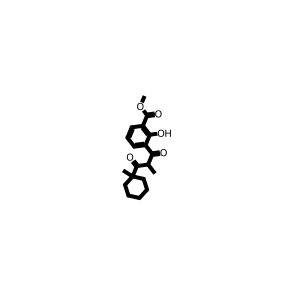 COC(=O)c1cccc(C(=O)C(C)C(=O)C2(C)CCCCC2)c1O